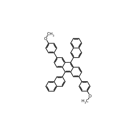 COc1ccc(-c2ccc3c(-c4ccc5ccccc5c4)c4cc(-c5ccc(OC)cc5)ccc4c(-c4ccc5ccccc5c4)c3c2)cc1